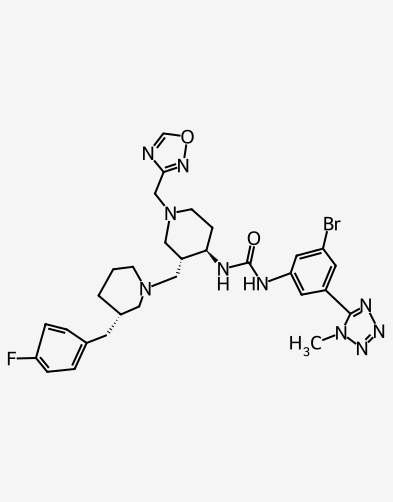 Cn1nnnc1-c1cc(Br)cc(NC(=O)N[C@@H]2CCN(Cc3ncon3)C[C@H]2CN2CCC[C@@H](Cc3ccc(F)cc3)C2)c1